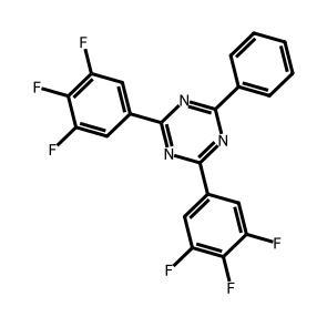 Fc1cc(-c2nc(-c3ccccc3)nc(-c3cc(F)c(F)c(F)c3)n2)cc(F)c1F